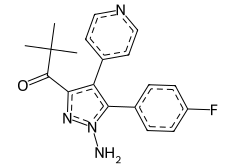 CC(C)(C)C(=O)c1nn(N)c(-c2ccc(F)cc2)c1-c1ccncc1